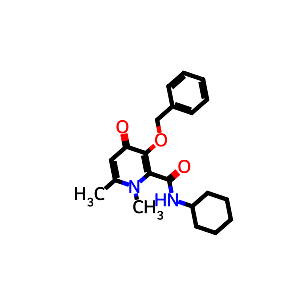 Cc1cc(=O)c(OCc2ccccc2)c(C(=O)NC2CCCCC2)n1C